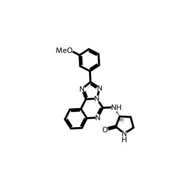 COc1cccc(-c2nc3c4ccccc4nc(N[C@@H]4CCNC4=O)n3n2)c1